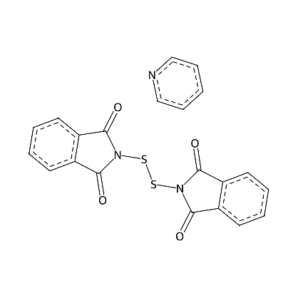 O=C1c2ccccc2C(=O)N1SSN1C(=O)c2ccccc2C1=O.c1ccncc1